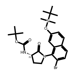 CC(C)(C)OC(=O)N[C@H]1CCN(c2c(Br)ccc3ccc(O[Si](C)(C)C(C)(C)C)cc23)C1=O